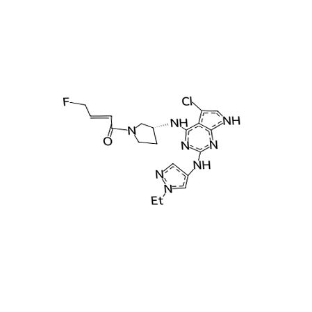 CCn1cc(Nc2nc(N[C@@H]3CCN(C(=O)/C=C/CF)C3)c3c(Cl)c[nH]c3n2)cn1